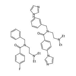 CCN(CC)CCN(Cc1ccccc1)C(=O)c1ccc(-n2ccnc2)cc1.CCN(CC)CCN(Cc1ccccc1)C(=O)c1ccc(F)cc1.c1c[nH]cn1